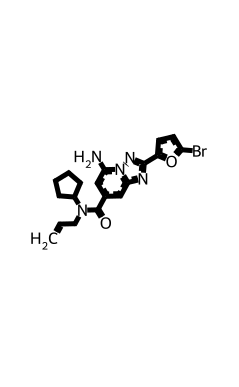 C=CCN(C(=O)c1cc(N)n2nc(-c3ccc(Br)o3)nc2c1)C1CCCC1